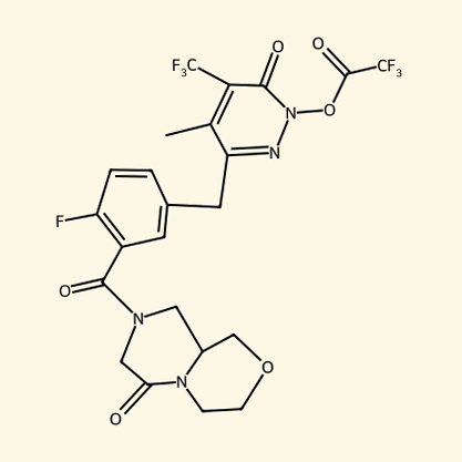 Cc1c(Cc2ccc(F)c(C(=O)N3CC(=O)N4CCOCC4C3)c2)nn(OC(=O)C(F)(F)F)c(=O)c1C(F)(F)F